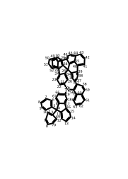 c1ccc(C2(c3ccccc3)c3ccccc3-c3cc(N(c4ccc5c(c4)C4(c6ccccc6-5)c5ccccc5-c5cccc6ccc(C7CCCCC7)c4c56)c4cccc5ccccc45)ccc32)cc1